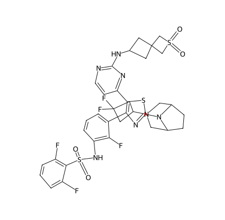 O=S1(=O)CC2(CC(Nc3nccc(-c4sc(N5C6CCC5CN(C5CC(F)(F)C5)C6)nc4-c4cccc(NS(=O)(=O)c5c(F)cccc5F)c4F)n3)C2)C1